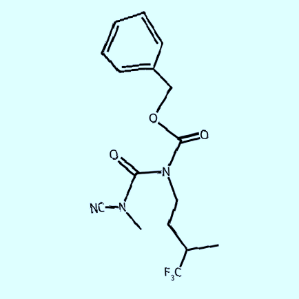 CC(CCN(C(=O)OCc1ccccc1)C(=O)N(C)C#N)C(F)(F)F